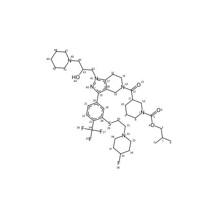 CC(C)COC(=O)N1CCCC(C(=O)N2CCc3c(c(-c4ccc(C(F)(F)F)c(SCCN5CCC(F)CC5)c4)nn3CC(O)CN3CCCCC3)C2)C1